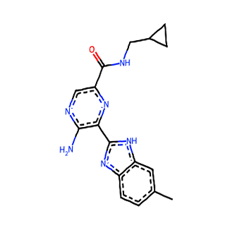 Cc1ccc2nc(-c3nc(C(=O)NCC4CC4)cnc3N)[nH]c2c1